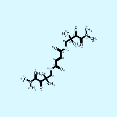 CN(C)C(=O)C(=O)C(C)(C)COC(=O)/C=C/C(=O)OCC(C)(C)C(=O)C(=O)N(C)C